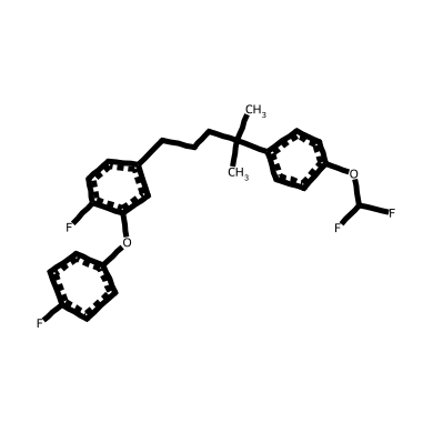 CC(C)(CCCc1ccc(F)c(Oc2ccc(F)cc2)c1)c1ccc(OC(F)F)cc1